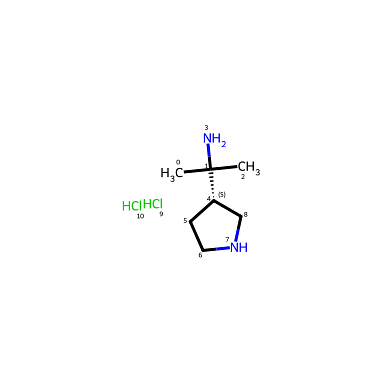 CC(C)(N)[C@H]1CCNC1.Cl.Cl